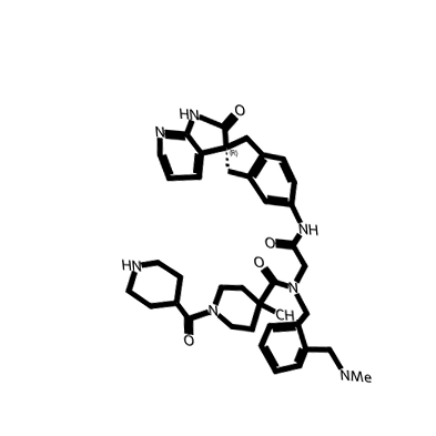 CNCc1ccccc1CN(CC(=O)Nc1ccc2c(c1)C[C@@]1(C2)C(=O)Nc2ncccc21)C(=O)C1(C)CCN(C(=O)C2CCNCC2)CC1